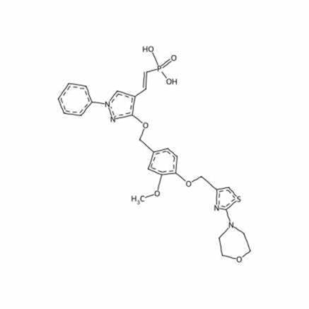 COc1cc(COc2nn(-c3ccccc3)cc2/C=C/P(=O)(O)O)ccc1OCc1csc(N2CCOCC2)n1